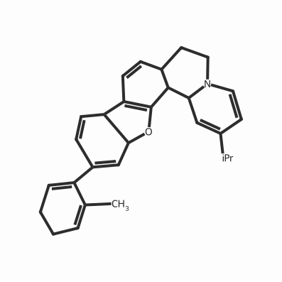 CC1=CCCC=C1C1=CC2OC3=C(C=CC4CCN5C=CC(C(C)C)=CC5C34)C2C=C1